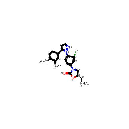 COc1ccc(-c2ccnn2-c2ccc(N3C[C@H](CNC(C)=O)OC3=O)cc2F)cc1OC